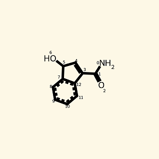 NC(=O)C1=CC(O)c2ccccc21